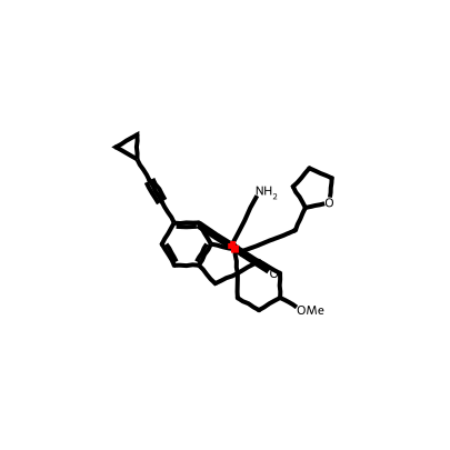 COC1CCC2(CC1)Cc1ccc(C#CC3CC3)cc1C21N=C(N)N(CC2CCCO2)C1=O